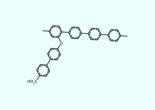 Cc1ccc(-c2ccc(-c3ccc(-c4ccc(C)cc4Oc4ccc(-c5ccc(S(=O)(=O)O)cc5)cc4)cc3)cc2)cc1